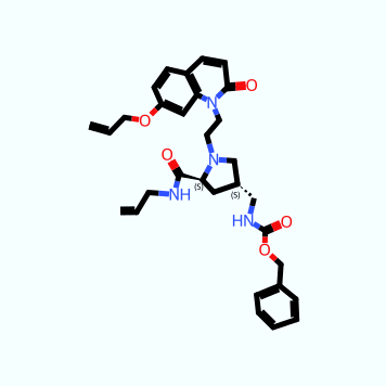 C=CCNC(=O)[C@@H]1C[C@@H](CNC(=O)OCc2ccccc2)CN1CCn1c(=O)ccc2ccc(OCC=C)cc21